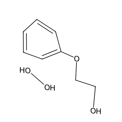 OCCOc1ccccc1.OO